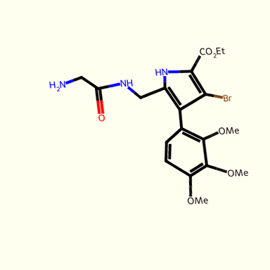 CCOC(=O)c1[nH]c(CNC(=O)CN)c(-c2ccc(OC)c(OC)c2OC)c1Br